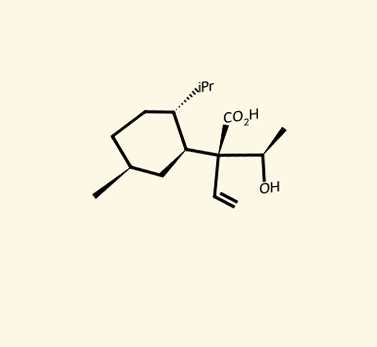 C=C[C@@](C(=O)O)([C@@H](C)O)[C@H]1C[C@@H](C)CC[C@@H]1C(C)C